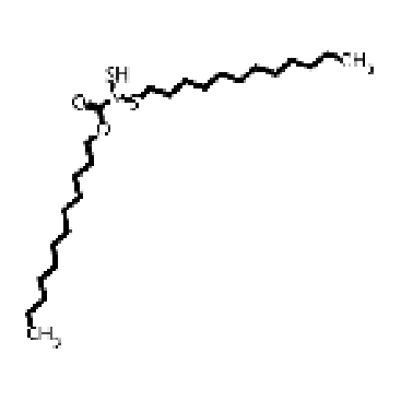 CCCCCCCCCCCCOC(=O)N(S)SCCCCCCCCCCCC